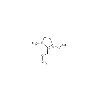 COC[C@@H]1[C@@H](OC)CCN1C